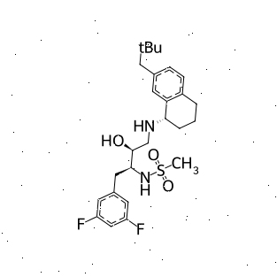 CC(C)(C)Cc1ccc2c(c1)[C@@H](NC[C@H](O)[C@H](Cc1cc(F)cc(F)c1)NS(C)(=O)=O)CCC2